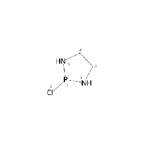 ClP1NCCN1